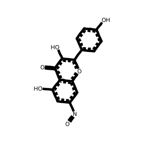 O=Nc1cc(O)c2c(=O)c(O)c(-c3ccc(O)cc3)oc2c1